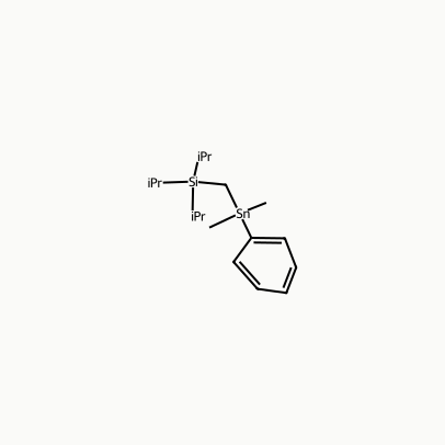 CC(C)[Si]([CH2][Sn]([CH3])([CH3])[c]1ccccc1)(C(C)C)C(C)C